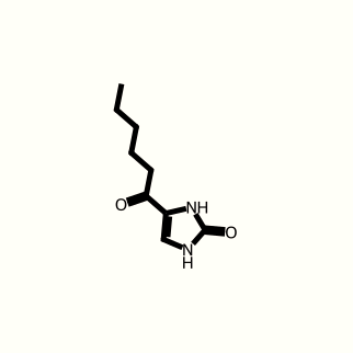 CCCCCC(=O)c1c[nH]c(=O)[nH]1